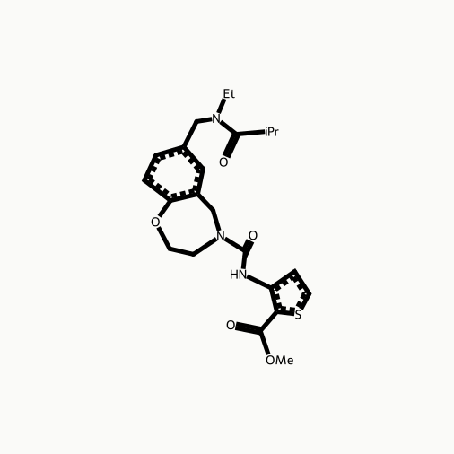 CCN(Cc1ccc2c(c1)CN(C(=O)Nc1ccsc1C(=O)OC)CCO2)C(=O)C(C)C